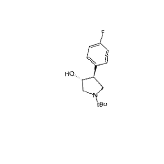 CC(C)(C)N1C[C@H](c2ccc(F)cc2)[C@@H](O)C1